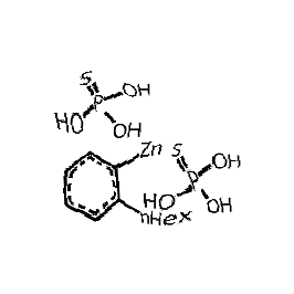 CCCCCCc1cccc[c]1[Zn].OP(O)(O)=S.OP(O)(O)=S